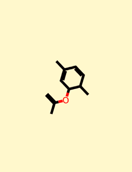 C=C(C)OC1C=C(C)C=CC1C